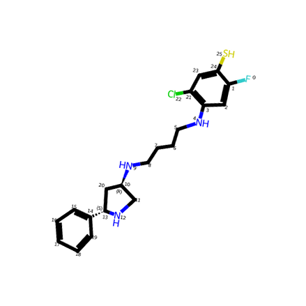 Fc1cc(NCCCCN[C@H]2CN[C@H](c3ccccc3)C2)c(Cl)cc1S